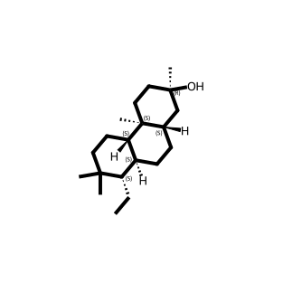 CC[C@H]1[C@@H]2CC[C@H]3C[C@](C)(O)CC[C@]3(C)[C@H]2CCC1(C)C